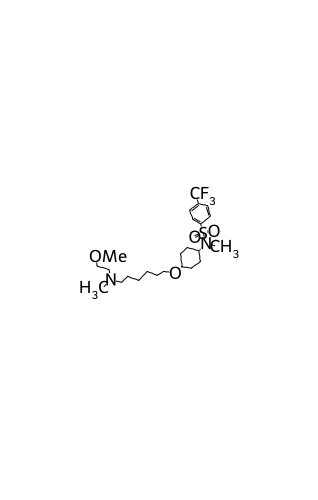 COCCN(C)CCCCCCO[C@H]1CC[C@H](N(C)S(=O)(=O)c2ccc(C(F)(F)F)cc2)CC1